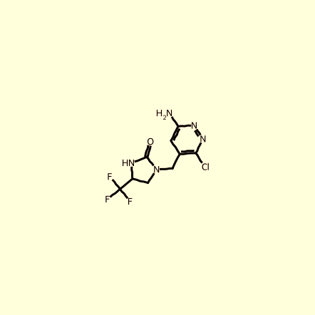 Nc1cc(CN2CC(C(F)(F)F)NC2=O)c(Cl)nn1